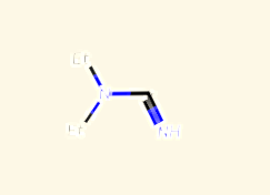 CCN([C]=N)CC